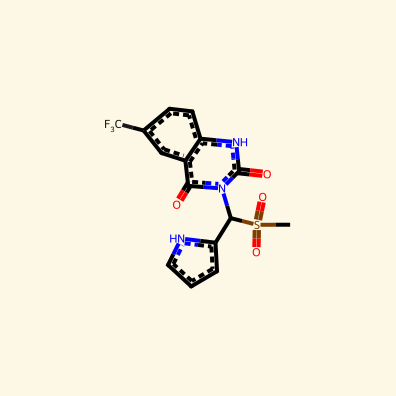 CS(=O)(=O)C(c1ccc[nH]1)n1c(=O)[nH]c2ccc(C(F)(F)F)cc2c1=O